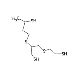 CC(S)CCSC(CS)CSCCS